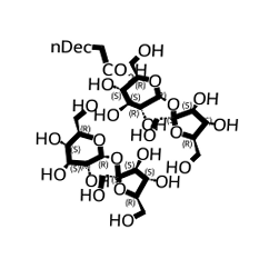 CCCCCCCCCCCC(=O)O.OC[C@H]1O[C@@](CO)(O[C@H]2O[C@H](CO)[C@@H](O)[C@H](O)[C@H]2O)[C@@H](O)[C@@H]1O.OC[C@H]1O[C@@](CO)(O[C@H]2O[C@H](CO)[C@@H](O)[C@H](O)[C@H]2O)[C@@H](O)[C@@H]1O